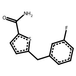 NC(=O)c1ccc(Cc2cccc(F)c2)s1